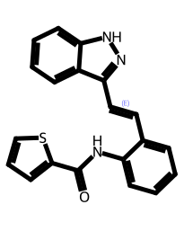 O=C(Nc1ccccc1/C=C/c1n[nH]c2ccccc12)c1cccs1